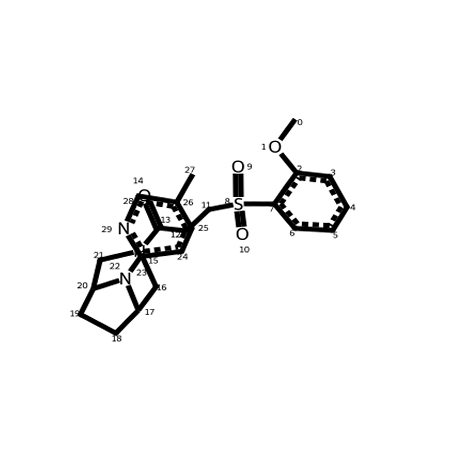 COc1ccccc1S(=O)(=O)CCC(=O)N1CC2CCC(C1)N2c1ccc(C)cn1